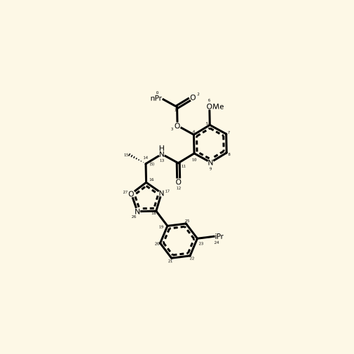 CCCC(=O)Oc1c(OC)ccnc1C(=O)N[C@@H](C)c1nc(-c2cccc(C(C)C)c2)no1